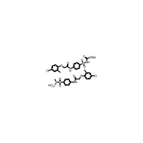 COC(=O)NS(=O)(=O)c1ccc(NC(=O)COc2ccc(Cl)cc2C)cc1.Cc1cc(Cl)ccc1OCC(=O)Nc1ccc(S(=O)(=O)N(C)C(=O)O)cc1